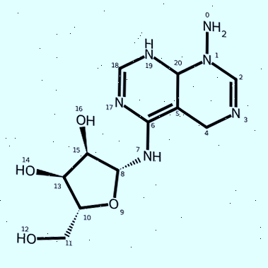 NN1C=NCC2=C(N[C@@H]3O[C@H](CO)[C@@H](O)[C@H]3O)N=CNC21